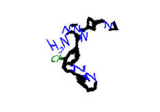 Nc1nccn2c(C3CC(CN4CCC4)C3)nc(-c3cc(Cl)c4ccc(-c5ccccn5)nc4c3)c12